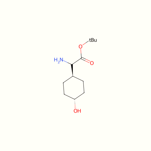 CC(C)(C)OC(=O)C(N)[C@H]1CC[C@H](O)CC1